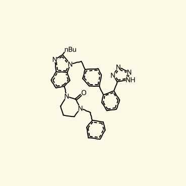 CCCCc1nc2ccc(N3CCCN(Cc4ccccc4)C3=O)cc2n1Cc1ccc(-c2ccccc2-c2nnn[nH]2)cc1